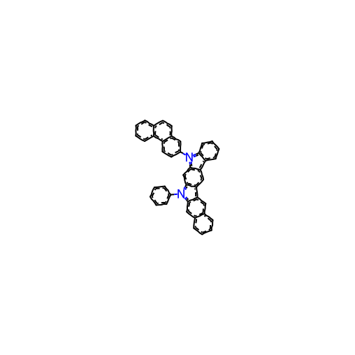 c1ccc(-n2c3cc4ccccc4cc3c3cc4c5ccccc5n(-c5ccc6c(ccc7ccccc76)c5)c4cc32)cc1